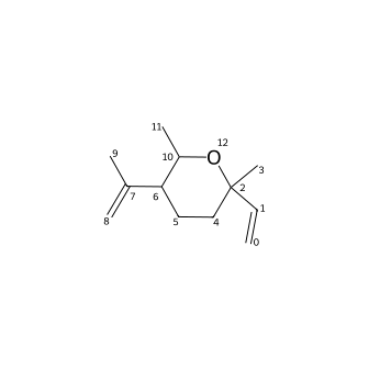 C=CC1(C)CCC(C(=C)C)C(C)O1